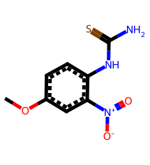 COc1ccc(NC(N)=S)c([N+](=O)[O-])c1